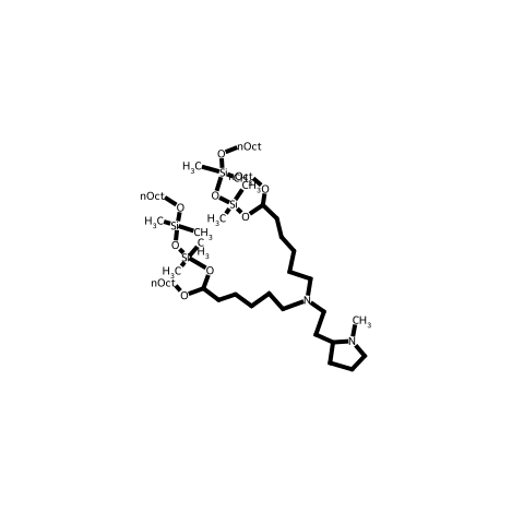 CCCCCCCCOC(CCCCCN(CCCCCC(OCCCCCCCC)O[Si](C)(C)O[Si](C)(C)OCCCCCCCC)CCC1CCCN1C)O[Si](C)(C)O[Si](C)(C)OCCCCCCCC